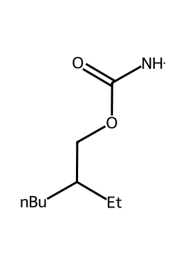 CCCCC(CC)COC([NH])=O